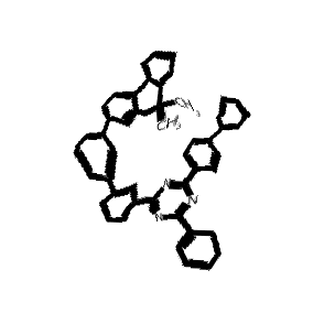 CC1(C)c2ccccc2-c2ccc(-c3cccc(-c4cccc(-c5nc(-c6ccccc6)nc(-c6ccc(-c7ccccc7)cc6)n5)c4)c3)cc21